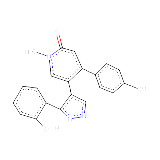 Cc1ccc(-c2cc(=O)n(C)cc2-c2c[nH]nc2-c2ccccc2C(=O)O)cc1